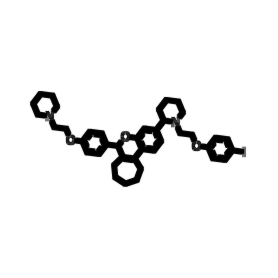 Ic1ccc(OCCN2CCCCC2c2ccc3c(c2)OC(c2ccc(OCCN4CCCCC4)cc2)C2=C3CCCCC2)cc1